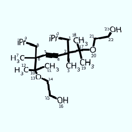 CC(C)CC(C)(C#CC(C)(CC(C)C)C(C)(C)OCCO)C(C)(C)OCCO